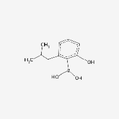 CC(C)Cc1cccc(O)c1B(O)O